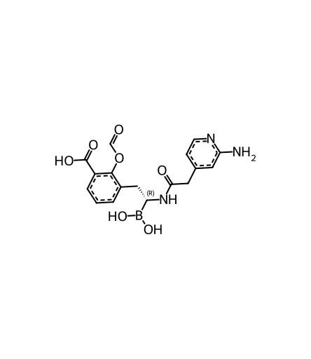 Nc1cc(CC(=O)N[C@@H](Cc2cccc(C(=O)O)c2OC=O)B(O)O)ccn1